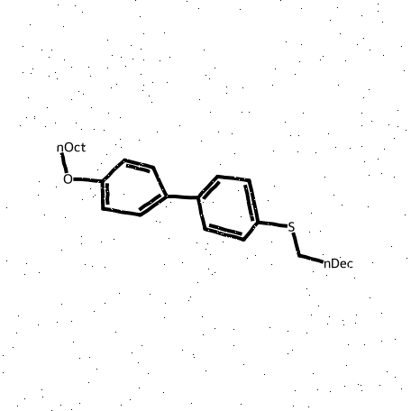 CCCCCCCCCCCSc1ccc(-c2ccc(OCCCCCCCC)cc2)cc1